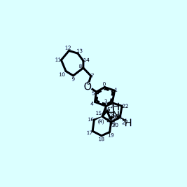 c1cc2c(cc1OCC1CCCCCC1)[C@@]13CCCC[C@H]1[C@@H](C2)NCC3